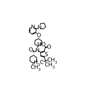 CC(C)(C)c1cc(N(C(=O)[C@H]2CC[C@H](C)CC2)[C@H]2CC[C@H](Oc3cccnc3N3CCCC3)CC2)c(C(=O)O)s1